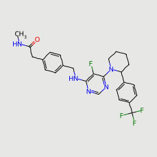 CNC(=O)Cc1ccc(CNc2ncnc(N3CCCCC3c3ccc(C(F)(F)F)cc3)c2F)cc1